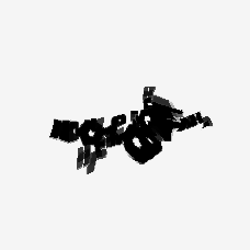 Cc1cc(C#N)cnc1C(=O)Nc1ccc2c(c1)[C@@]1(C2)N=C(N)[C@@](C)(F)CC1(F)F